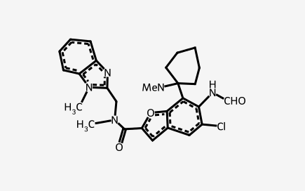 CNC1(c2c(NC=O)c(Cl)cc3cc(C(=O)N(C)Cc4nc5ccccc5n4C)oc23)CCCCC1